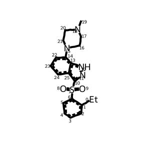 CCc1ccccc1S(=O)(=O)c1n[nH]c2c(N3CCN(C)CC3)cccc12